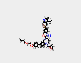 CCCCOCCOc1ccc(-c2ccc3c(c2)/C=C(/C(=O)Nc2ccc([S+]([O-])Cc4c(CC)ccnc4C)cc2)CCCN3CC2CCCO2)cc1